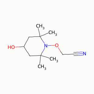 CC1(C)CC(O)CC(C)(C)N1OCC#N